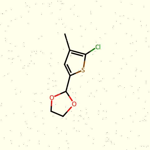 Cc1cc(C2OCCO2)sc1Cl